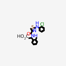 Cc1ccccc1C(CC(=O)O)NC(=O)c1csc(Nc2ccccc2Cl)n1